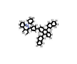 CCC1=C(c2ccc(-c3ccc4c(-c5ccc6ccccc6c5)c5c(c(-c6ccc7ccccc7c6)c4c3)=CCCC=5)cc2)N(C2C=CC=CC2)c2ccccc2C1C